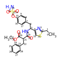 CCc1nc(C(Cc2ccc(OS(N)(=O)=O)cc2)NC(=O)C(Cc2ccccc2)C(=O)OC)cs1